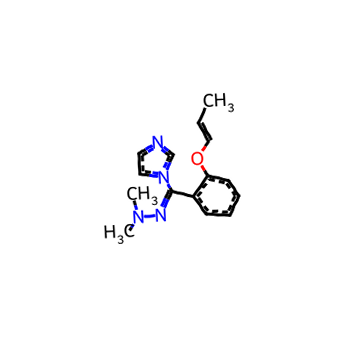 CC=COc1ccccc1C(=NN(C)C)n1ccnc1